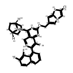 Fc1ccc2cccc(-c3ncc4c(N5C[C@H]6CC[C@@H](C5)N6)nc(OCc5cc6sc(Cl)cn6c5)nc4c3F)c2c1F